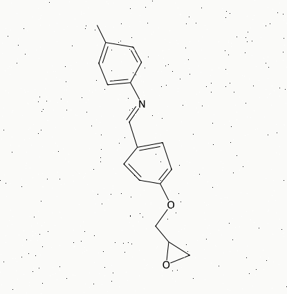 Cc1ccc(N=Cc2ccc(OCC3CO3)cc2)cc1